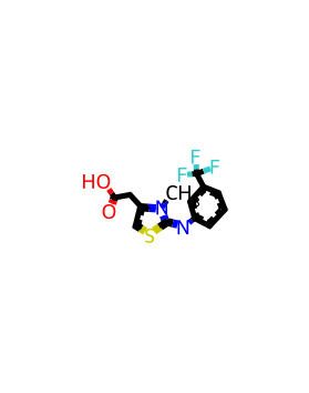 Cn1c(CC(=O)O)csc1=Nc1cccc(C(F)(F)F)c1